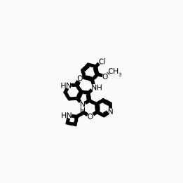 COc1c(Cl)cccc1Nc1c(-c2ccncc2OCC2CCN2)[nH]c2c1C(=O)NCC2